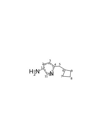 Nc1ccc(CC2CCC2)nc1